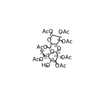 CC(=O)OC[C@H]1O[C@H](OC(C)=O)[C@H](OC(C)=O)[C@@H](OC(C)=O)[C@@H]1O[C@@H]1O[C@H](C(=S)OC(C)=O)[C@H](O)[C@H](OC(C)=O)[C@H]1OC(C)=O